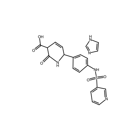 O=C(O)C1C=CC(c2ccc(NS(=O)(=O)c3cccnc3)cc2)NC1=O.c1c[nH]cn1